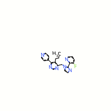 CCCc1c(Cn2ccnc2-c2ncccc2F)ncnc1-c1ccncc1